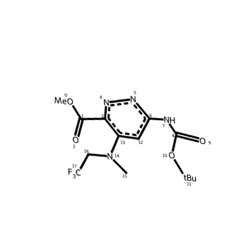 COC(=O)c1nnc(NC(=O)OC(C)(C)C)cc1N(C)CC(F)(F)F